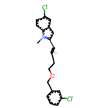 Cn1c(/C=C/CCOCc2cccc(Cl)c2)cc2cc(Cl)ccc21